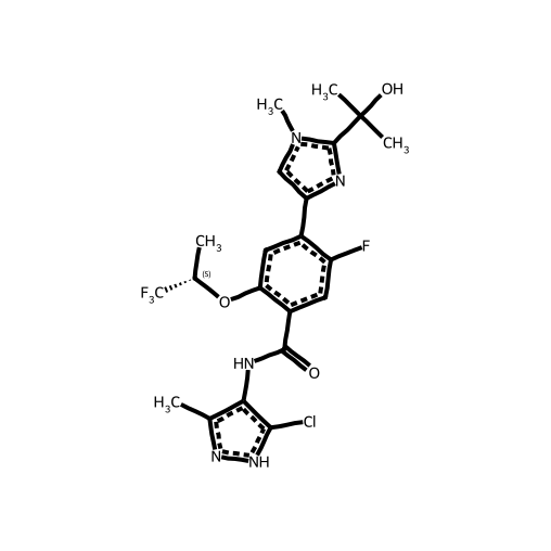 Cc1n[nH]c(Cl)c1NC(=O)c1cc(F)c(-c2cn(C)c(C(C)(C)O)n2)cc1O[C@@H](C)C(F)(F)F